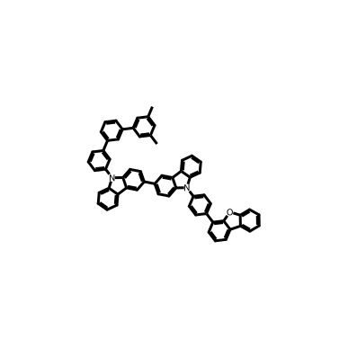 Cc1cc(C)cc(-c2cccc(-c3cccc(-n4c5ccccc5c5cc(-c6ccc7c(c6)c6ccccc6n7-c6ccc(-c7cccc8c7oc7ccccc78)cc6)ccc54)c3)c2)c1